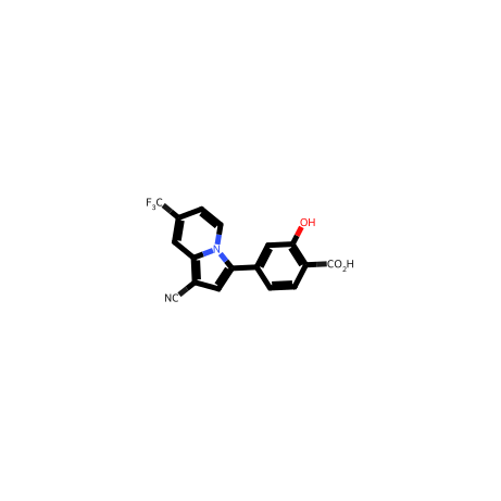 N#Cc1cc(-c2ccc(C(=O)O)c(O)c2)n2ccc(C(F)(F)F)cc12